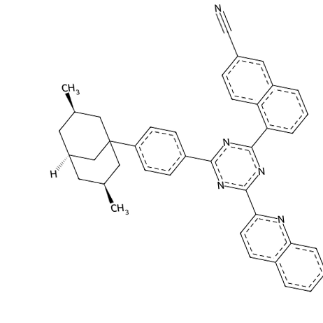 C[C@@H]1C[C@@H]2C[C@H](C)CC(c3ccc(-c4nc(-c5ccc6ccccc6n5)nc(-c5cccc6cc(C#N)ccc56)n4)cc3)(C1)C2